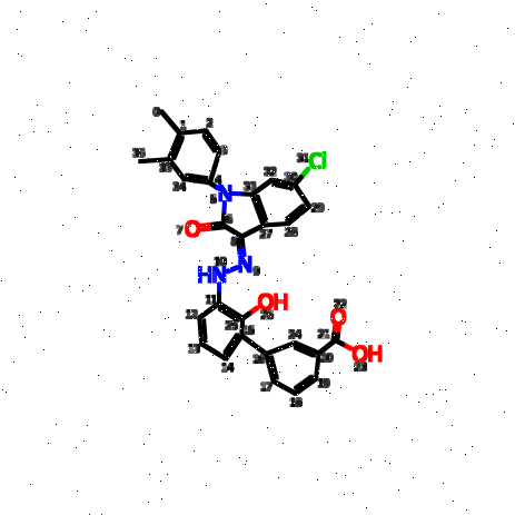 Cc1ccc(N2C(=O)/C(=N\Nc3cccc(-c4cccc(C(=O)O)c4)c3O)c3ccc(Cl)cc32)cc1C